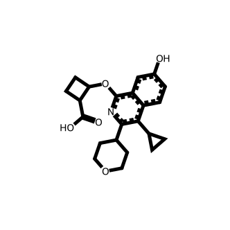 O=C(O)C1CCC1Oc1nc(C2CCOCC2)c(C2CC2)c2ccc(O)cc12